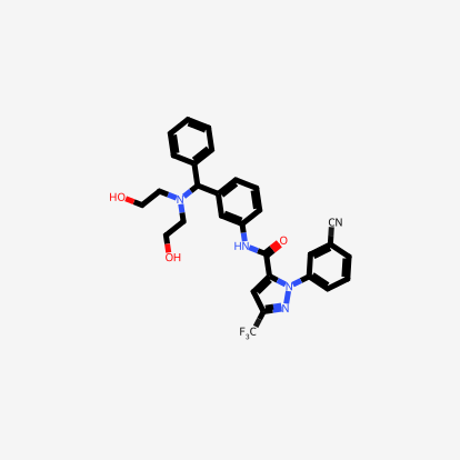 N#Cc1cccc(-n2nc(C(F)(F)F)cc2C(=O)Nc2cccc(C(c3ccccc3)N(CCO)CCO)c2)c1